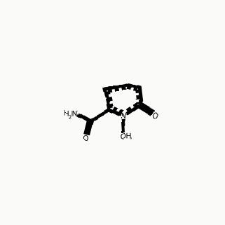 NC(=O)c1cccc(=O)n1O